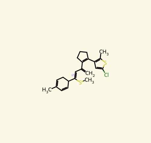 C=C(/C=C(\SC)C1C=CC(C)=CC1)C1=C(c2cc(Cl)sc2C)CCC1